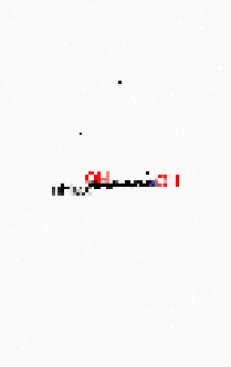 CCCCCC[C@H](O)CCCCCCCCC/C=C/O